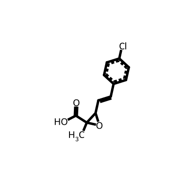 CC1(C(=O)O)OC1C=Cc1ccc(Cl)cc1